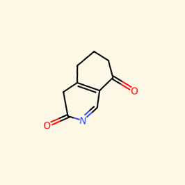 O=C1CC2=C(C=N1)C(=O)CCC2